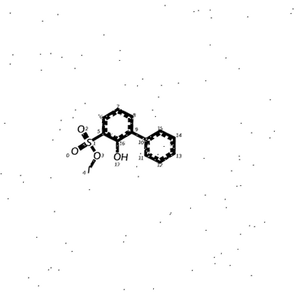 O=S(=O)(OI)c1cccc(-c2ccccc2)c1O